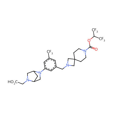 O=C(O)CN1CC2CC1CN2c1cc(CN2CC3(CCN(C(=O)OC(C(F)(F)F)C(F)(F)F)CC3)C2)cc(C(F)(F)F)c1